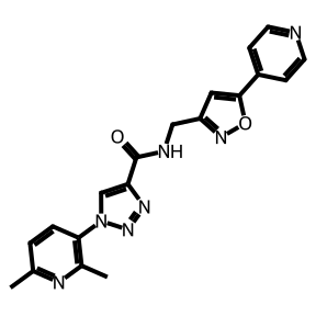 Cc1ccc(-n2cc(C(=O)NCc3cc(-c4ccncc4)on3)nn2)c(C)n1